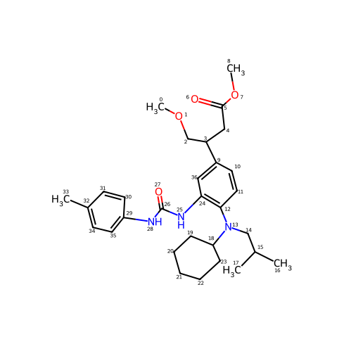 COCC(CC(=O)OC)c1ccc(N(CC(C)C)C2CCCCC2)c(NC(=O)Nc2ccc(C)cc2)c1